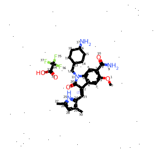 COc1cc2c(cc1C(N)=O)N(CC1CCC(N)CC1)C(=O)/C2=C\c1[nH]c(C)cc1C.O=C(O)C(F)(F)F